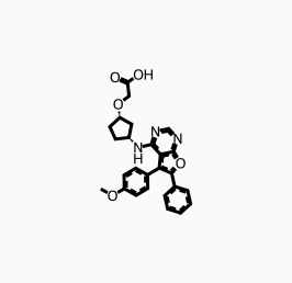 COc1ccc(-c2c(-c3ccccc3)oc3ncnc(N[C@@H]4CC[C@H](OCC(=O)O)C4)c23)cc1